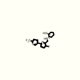 O[C@H]1CCCC[C@@H]1NCc1nc(-c2ccc(C(F)(F)F)nc2)ccc1F